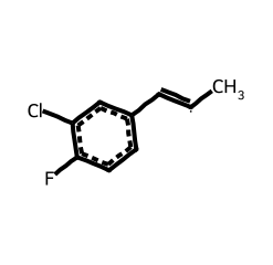 C[C]=Cc1ccc(F)c(Cl)c1